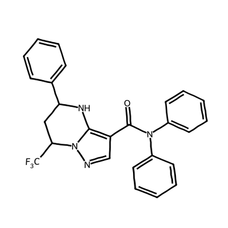 O=C(c1cnn2c1NC(c1ccccc1)CC2C(F)(F)F)N(c1ccccc1)c1ccccc1